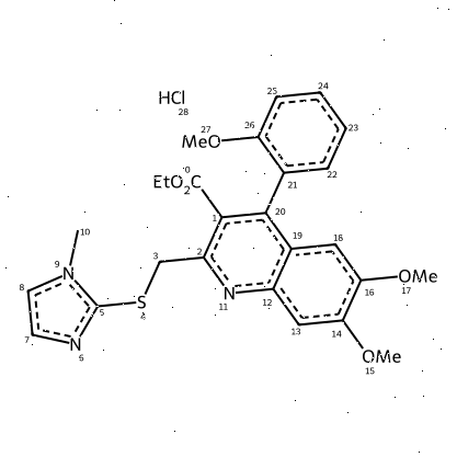 CCOC(=O)c1c(CSc2nccn2C)nc2cc(OC)c(OC)cc2c1-c1ccccc1OC.Cl